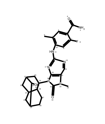 Cc1cc(C(N)=O)c(F)cc1Nc1ncc2c(n1)n(C1CC3CC4CC(CCC41)C3O)c(=O)n2C